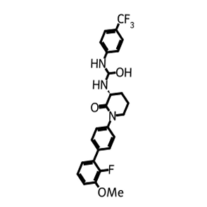 COc1cccc(-c2ccc(N3CCC[C@@H](NC(O)Nc4ccc(C(F)(F)F)cc4)C3=O)cc2)c1F